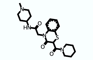 CN1CCC(NC(=O)CN2C(=O)C(C(=O)N3CCCCC3)Sc3ccccc32)CC1